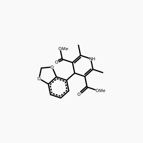 COC(=O)C1=C(C)NC(C)=C(C(=O)OC)C1c1cccc2c1OCO2